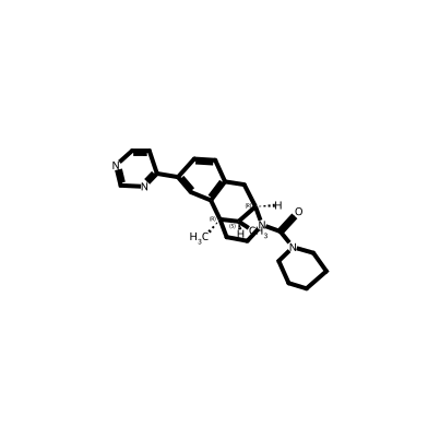 C[C@@H]1[C@H]2Cc3ccc(-c4ccncn4)cc3[C@]1(C)CCN2C(=O)N1CCCCC1